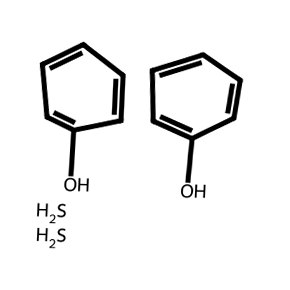 Oc1ccccc1.Oc1ccccc1.S.S